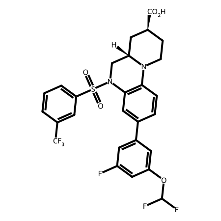 O=C(O)[C@H]1CCN2c3ccc(-c4cc(F)cc(OC(F)F)c4)cc3N(S(=O)(=O)c3cccc(C(F)(F)F)c3)C[C@@H]2C1